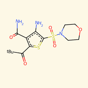 CC(C)(C)C(=O)c1sc(S(=O)(=O)N2CCOCC2)c(N)c1C(N)=O